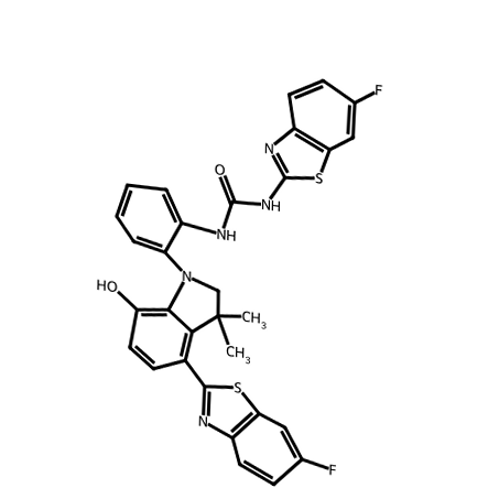 CC1(C)CN(c2ccccc2NC(=O)Nc2nc3ccc(F)cc3s2)c2c(O)ccc(-c3nc4ccc(F)cc4s3)c21